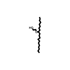 CCCCCCCCCCCC(CCCCCCCC)OCCO